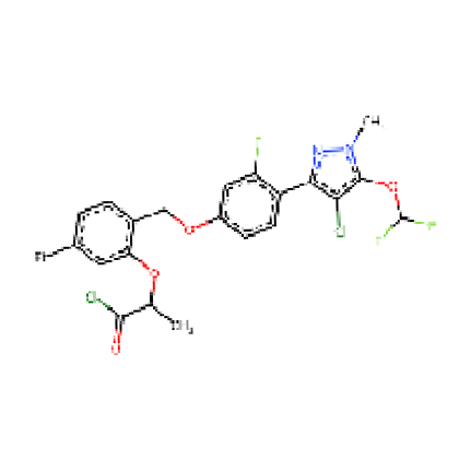 CCc1ccc(COc2ccc(-c3nn(C)c(OC(F)F)c3Cl)c(F)c2)c(OC(C)C(=O)Cl)c1